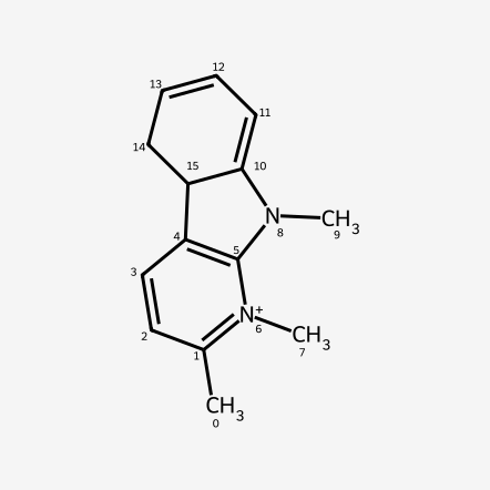 Cc1ccc2c([n+]1C)N(C)C1=CC=CCC12